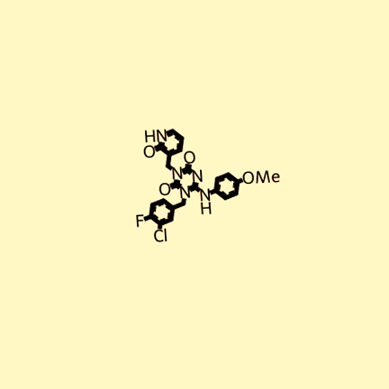 COc1ccc(Nc2nc(=O)n(Cc3ccc[nH]c3=O)c(=O)n2Cc2ccc(F)c(Cl)c2)cc1